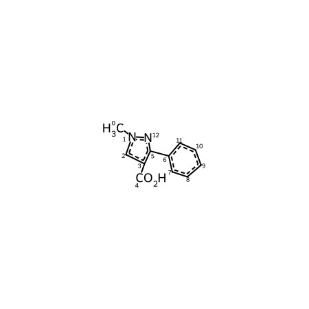 Cn1cc(C(=O)O)c(-c2ccccc2)n1